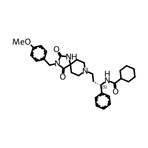 COc1ccc(CN2C(=O)NC3(CCN(CC[C@H](NC(=O)C4CCCCC4)c4ccccc4)CC3)C2=O)cc1